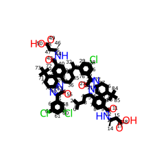 CC(C)CCC(c1ccc(C(=O)N[C@H](C)CC(=O)O)cc1)N1C(=O)C(c2cc(Cl)cc(C(C)C(C)CCC(c3ccc(C(=O)N[C@@H](C)CC(=O)O)cc3)N3C(=O)C(c4cc(Cl)cc(Cl)c4)=NC34CCC(C(C)(C)C)CC4)c2)=NC12CCC(C(C)(C)C)CC2